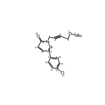 CCCCOCC#CCn1nc(-c2ccc(Cl)cn2)ccc1=O